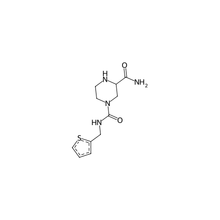 NC(=O)C1CN(C(=O)NCc2cccs2)CCN1